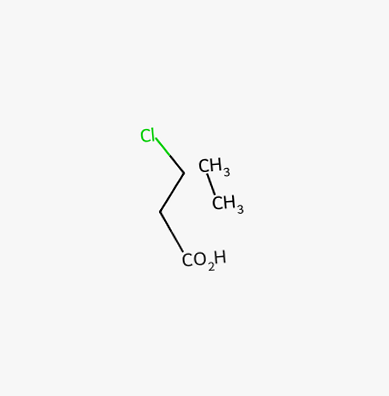 CC.O=C(O)CCCl